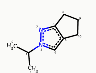 CC(C)n1cc2c(n1)CCC2